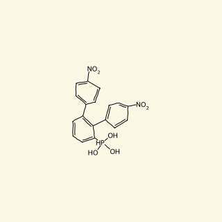 O=[N+]([O-])c1ccc(-c2cccc([PH](O)(O)O)c2-c2ccc([N+](=O)[O-])cc2)cc1